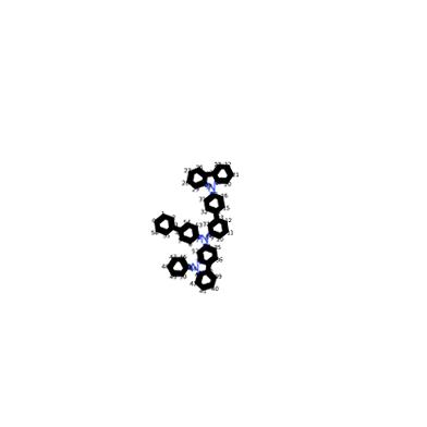 c1ccc(-c2ccc(N(c3cccc(-c4ccc(-n5c6ccccc6c6ccccc65)cc4)c3)c3ccc4c5ccccc5n(-c5ccccc5)c4c3)cc2)cc1